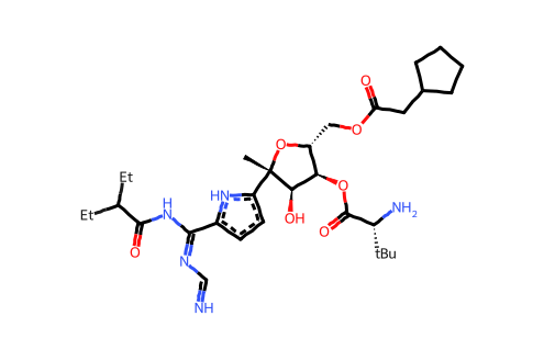 CCC(CC)C(=O)N/C(=N/C=N)c1ccc([C@]2(C)O[C@H](COC(=O)CC3CCCC3)[C@@H](OC(=O)[C@H](N)C(C)(C)C)[C@H]2O)[nH]1